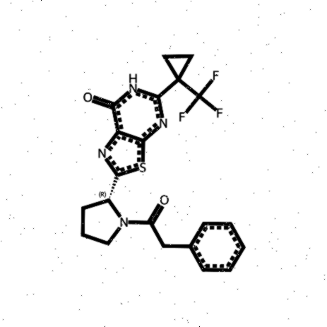 O=C(Cc1ccccc1)N1CCC[C@@H]1c1nc2c(=O)[nH]c(C3(C(F)(F)F)CC3)nc2s1